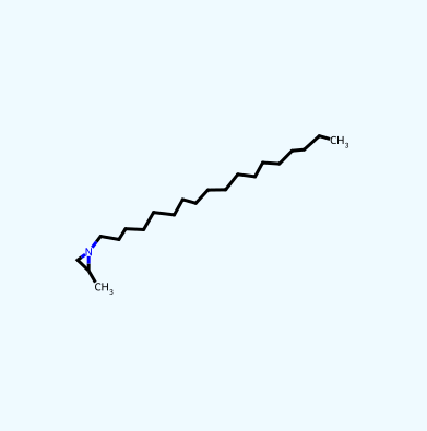 CCCCCCCCCCCCCCCCCCN1CC1C